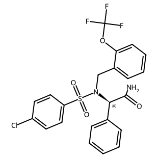 NC(=O)[C@@H](c1ccccc1)N(Cc1ccccc1OC(F)(F)F)S(=O)(=O)c1ccc(Cl)cc1